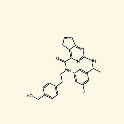 CC(Nc1nc(C(=O)NCCc2ccc(CO)cc2)c2sccc2n1)c1cncc(F)c1